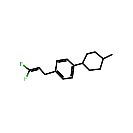 CC1CCC(c2ccc(CC=C(F)F)cc2)CC1